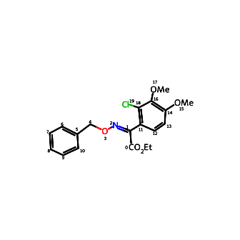 CCOC(=O)/C(=N\OCc1ccccc1)c1ccc(OC)c(OC)c1Cl